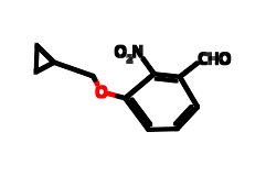 O=Cc1cccc(OCC2CC2)c1[N+](=O)[O-]